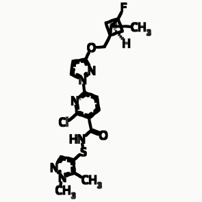 Cc1c(SNC(=O)c2ccc(-n3ccc(OCC45CC(F)(C4)[C@H]5C)n3)nc2Cl)cnn1C